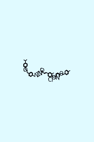 Cc1ccc(COc2ccc(Oc3c(C)cc(/C=C/C(=O)N4CCN(Cc5ccc(CCOc6ccc(C(C)C)cc6)cc5)CC4)cc3Cl)nc2)cc1